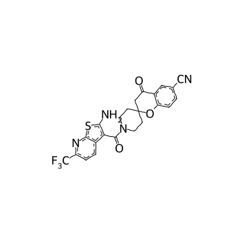 N#Cc1ccc2c(c1)C(=O)CC1(CCN(C(=O)c3c(N)sc4nc(C(F)(F)F)ccc34)CC1)O2